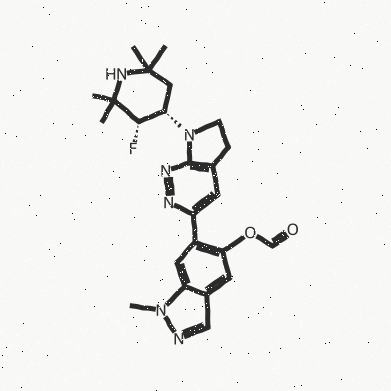 Cn1ncc2cc(OC=O)c(-c3cc4c(nn3)N([C@H]3CC(C)(C)NC(C)(C)[C@H]3F)CC4)cc21